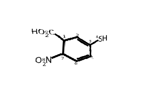 O=C(O)C1C=C(S)C=CC1[N+](=O)[O-]